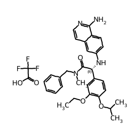 CCOc1cc([C@@H](Nc2ccc3c(N)nccc3c2)C(=O)N(C)Cc2ccccc2)ccc1OC(C)C.O=C(O)C(F)(F)F